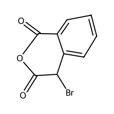 O=C1OC(=O)C(Br)c2ccccc21